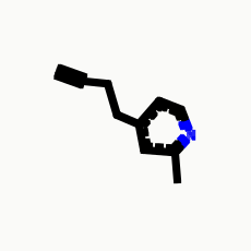 C#CCCc1ccnc(C)c1